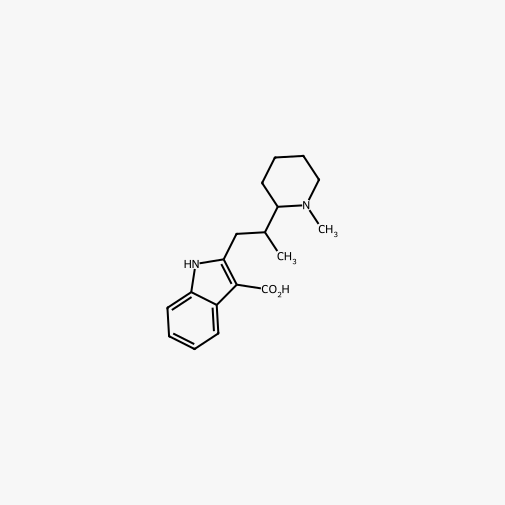 CC(Cc1[nH]c2ccccc2c1C(=O)O)C1CCCCN1C